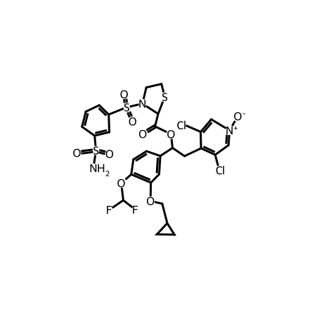 NS(=O)(=O)c1cccc(S(=O)(=O)N2CCSC2C(=O)OC(Cc2c(Cl)c[n+]([O-])cc2Cl)c2ccc(OC(F)F)c(OCC3CC3)c2)c1